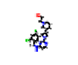 C[C@@H](Nc1ccnc(N2CC([C@H]3CCCN(CCO)C3)C2)n1)c1ccc(Cl)cc1Cl